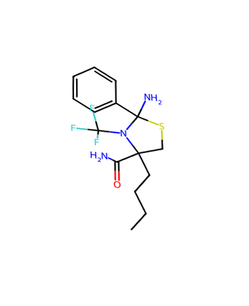 CCCCC1(C(N)=O)CSC(N)(c2ccccc2)N1C(F)(F)F